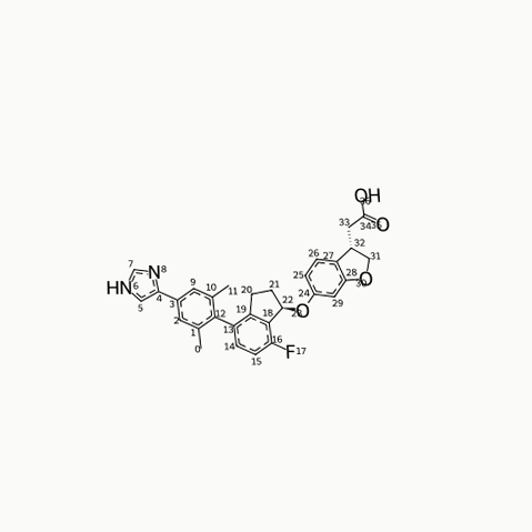 Cc1cc(-c2c[nH]cn2)cc(C)c1-c1ccc(F)c2c1CC[C@H]2Oc1ccc2c(c1)OC[C@H]2CC(=O)O